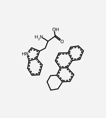 NC(Cc1c[nH]c2ccccc12)C(=O)O.c1ccc2c(c1)ccc1c3c(ccc12)CCCC3